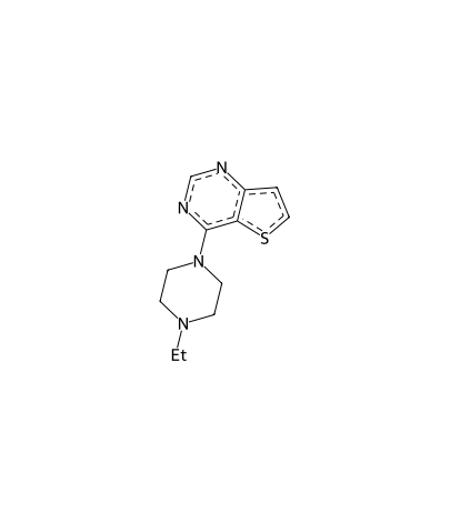 CCN1CCN(c2ncnc3ccsc23)CC1